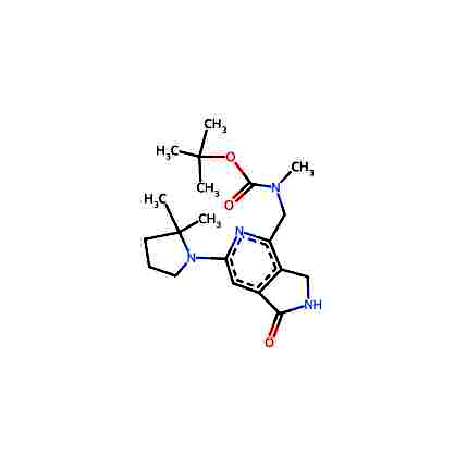 CN(Cc1nc(N2CCCC2(C)C)cc2c1CNC2=O)C(=O)OC(C)(C)C